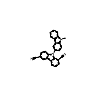 Cn1c2ccccc2c2cc(-n3c4ccc(C#N)cc4c4cccc(C#N)c43)ccc21